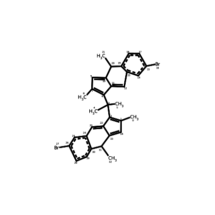 CC1=C(C(C)(C)C2=C(C)C=C3C2=Cc2cc(Br)ccc2C3C)C2=Cc3cc(Br)ccc3C(C)C2=C1